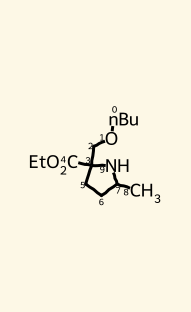 CCCCOCC1(C(=O)OCC)CCC(C)N1